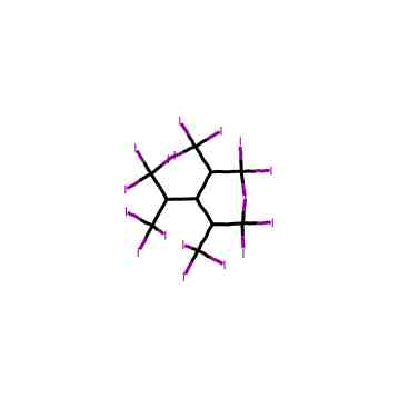 IC(I)(I)C([C](C(C(I)(I)I)C(I)(I)I)C(C(I)(I)I)C(I)(I)I)C(I)(I)I